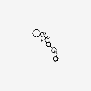 O=C(Nc1ccc(N2CCN(Cc3ccccc3)CC2)cc1)C1CC2(CCCCCCCC2)CO1